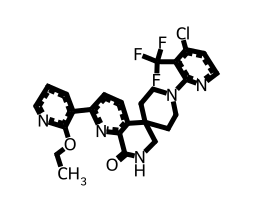 CCOc1ncccc1-c1ccc2c(n1)C(=O)NCC21CCN(c2nccc(Cl)c2C(F)(F)F)CC1